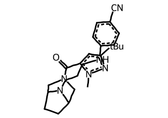 Cn1nc(C(C)(C)C)cc1C(=O)N1CC2CCC(C1)N2CCCNc1ccc(C#N)cc1